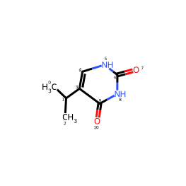 CC(C)c1[c][nH]c(=O)[nH]c1=O